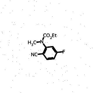 CCOC(=O)N(C)c1cc(F)ccc1C#N